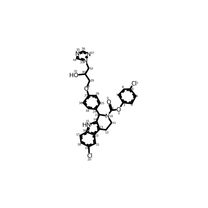 O=C(Oc1ccc(Cl)cc1)N1CCc2c([nH]c3ccc(Cl)cc23)C1c1ccc(OCC(O)Cn2cncn2)cc1